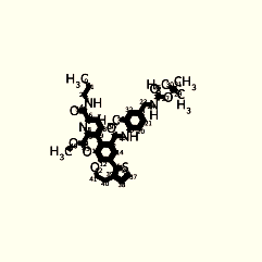 CCCNC(=O)c1ccc(-c2cc3c(cc2C(=O)Nc2ccc(CNC(=O)OC(C)(C)C)cc2C)-c2sccc2CCO3)c(C(=O)OC)n1